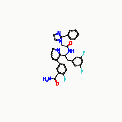 NC(=O)c1cc(-c2cccnc2C(Cc2cc(F)cc(F)c2)NC(=O)Cn2ccnc2-c2ccccc2)ccc1F